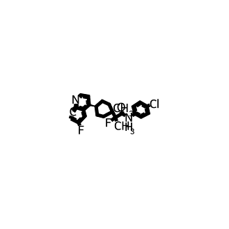 CC(F)(C(=O)Nc1ccc(Cl)cc1)[C@]1(C)CC[C@H](c2ccnc3ccc(F)cc32)CC1